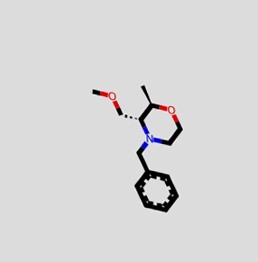 COC[C@@H]1[C@@H](C)OCCN1Cc1ccccc1